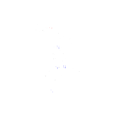 N#Cc1cccc(-c2cc(-c3ccccc3)nc(-c3ccc(Nc4ccccc4-c4ccc5c(c4)oc4ccccc45)cc3)n2)c1